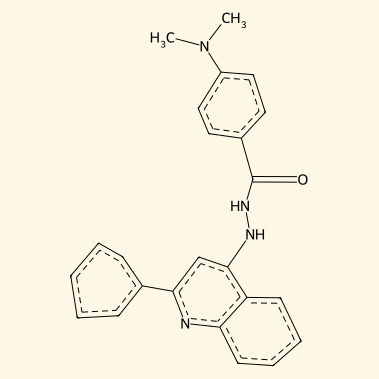 CN(C)c1ccc(C(=O)NNc2cc(-c3ccccc3)nc3ccccc23)cc1